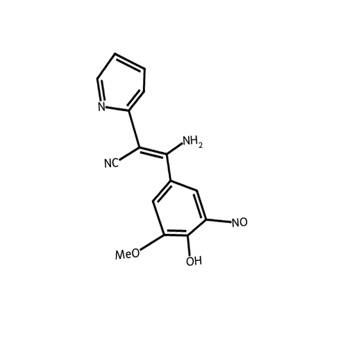 COc1cc(/C(N)=C(\C#N)c2ccccn2)cc(N=O)c1O